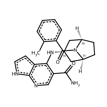 Cc1ccccc1C(=O)N1[C@@H]2CC[C@H]1C[C@H](Nc1c(C(N)=O)cnc3[nH]ccc13)C2